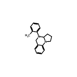 Cc1ccccc1N1Cc2ccccc2N2CCCC12